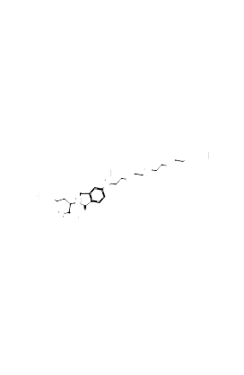 NC(=O)C(CCC=O)N1C(=O)c2ccc(NCCOCCOCCOCCC(=O)O)cc2C1=O